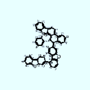 C1=Cc2oc3cc(C4Cc5c(ccc6c7ccccc7n(-c7ccccc7)c56)-c5ccccc54)ccc3c2C(C2=CC3Oc4ccccc4C3CC2)C1